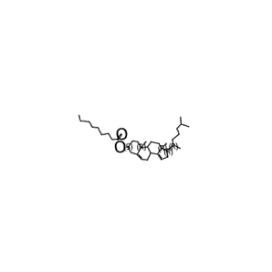 CCCCCCCCC(=O)O[C@H]1CC[C@@]2(C)C(=CCC3C4=CC[C@H]([C@H](C)CCCC(C)C)[C@@]4(C)CCC32)C1